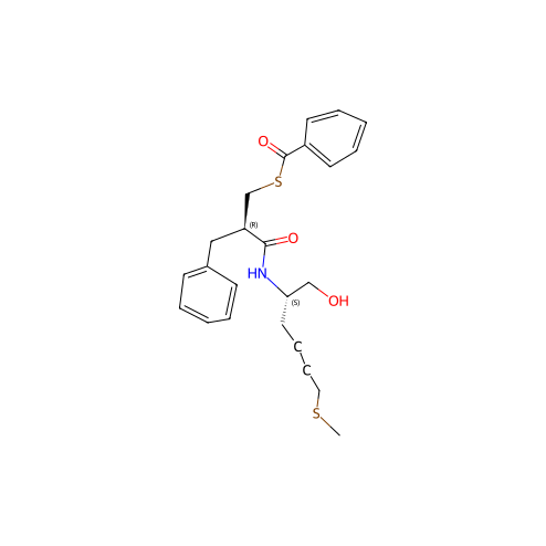 CSCCCC[C@@H](CO)NC(=O)[C@H](CSC(=O)c1ccccc1)Cc1ccccc1